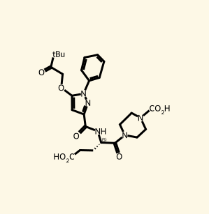 CC(C)(C)C(=O)COc1cc(C(=O)N[C@@H](CCC(=O)O)C(=O)N2CCN(C(=O)O)CC2)nn1-c1ccccc1